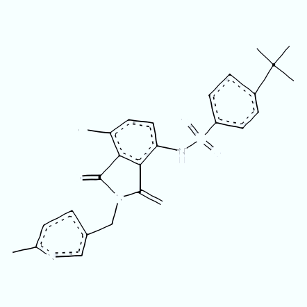 C=C1c2c(NS(=O)(=O)c3ccc(C(C)(C)C)cc3)ccc(Cl)c2C(=O)N1Cc1ccc(C)nc1